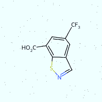 O=C(O)c1cc(C(F)(F)F)cc2cnsc12